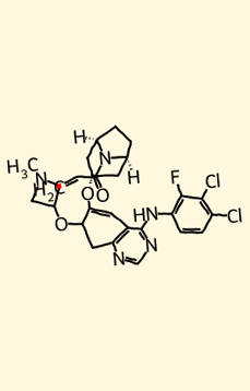 C=CC(=O)N1[C@@H]2CC[C@H]1C[C@H](OC1=Cc3c(ncnc3Nc3ccc(Cl)c(Cl)c3F)CC1OC1CN(C)C1)C2